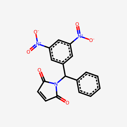 O=C1C=CC(=O)N1C(c1ccccc1)c1cc([N+](=O)[O-])cc([N+](=O)[O-])c1